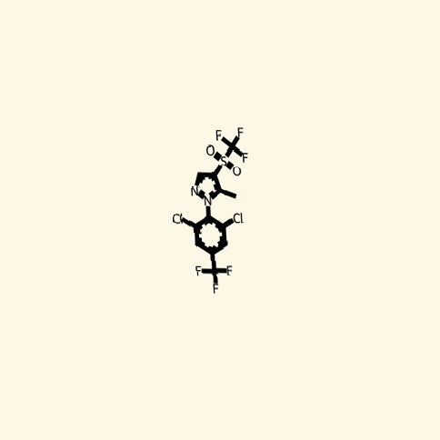 Cc1c(S(=O)(=O)C(F)(F)F)cnn1-c1c(Cl)cc(C(F)(F)F)cc1Cl